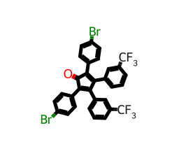 O=C1C(c2ccc(Br)cc2)=C(c2cccc(C(F)(F)F)c2)C(c2cccc(C(F)(F)F)c2)=C1c1ccc(Br)cc1